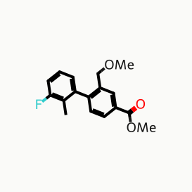 COCc1cc(C(=O)OC)ccc1-c1cccc(F)c1C